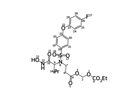 CCOC(=O)OCOC(=O)CCN(C(C(=O)NO)C(C)C)S(=O)(=O)c1ccc(Oc2ccc(F)cc2)cc1